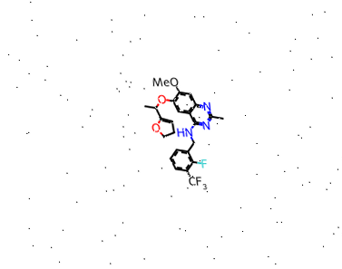 COc1cc2nc(C)nc(NCc3cccc(C(F)(F)F)c3F)c2cc1OC(C)C1=CCCO1